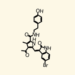 CC(=O)c1c(/C=C2\C(=O)Nc3ccc(Br)cc32)[nH]c(C(=O)NCCc2ccc(O)cc2)c1C